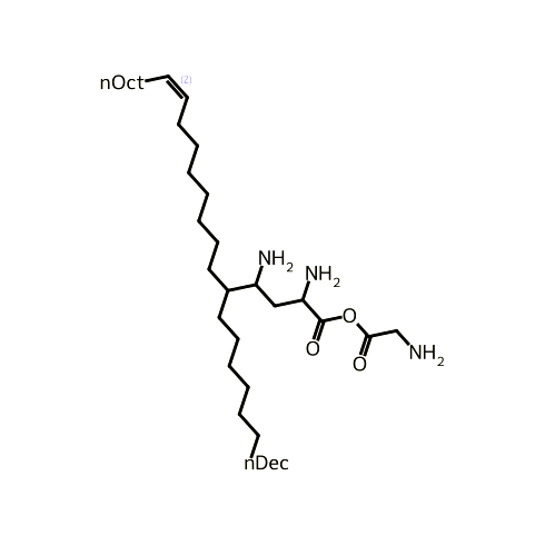 CCCCCCCC/C=C\CCCCCCCC(CCCCCCCCCCCCCCCC)C(N)CC(N)C(=O)OC(=O)CN